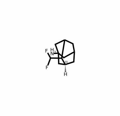 NC12CC3CC(C1)C(C(F)F)[C@@H](C3)C2